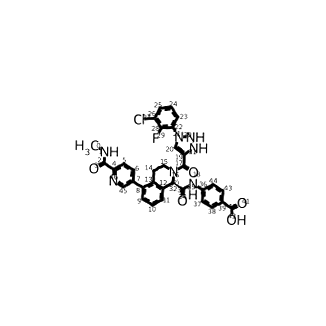 CNC(=O)c1ccc(-c2cccc3c2CCN(C(=O)C2=CN(c4cccc(Cl)c4F)NN2)[C@H]3C(=O)Nc2ccc(C(=O)O)cc2)cn1